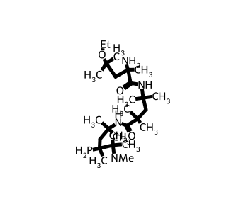 CCOC(C)(C)CC(C)(N)C(=O)NC(C)(C)CC(C)(C)C(=O)NC(C)(C)CC(C)(P)C(C)(C)NC